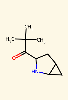 CC(C)(C)C(=O)C1CC2CC2N1